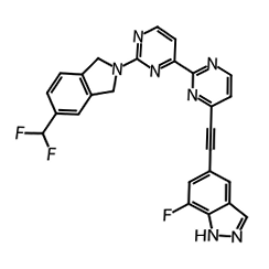 Fc1cc(C#Cc2ccnc(-c3ccnc(N4Cc5ccc(C(F)F)cc5C4)n3)n2)cc2cn[nH]c12